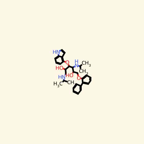 CC(C)NCC(O)C(Oc1cccc2[nH]ccc12)C(NC(C)C)C(O)COc1ccccc1-c1ccccc1